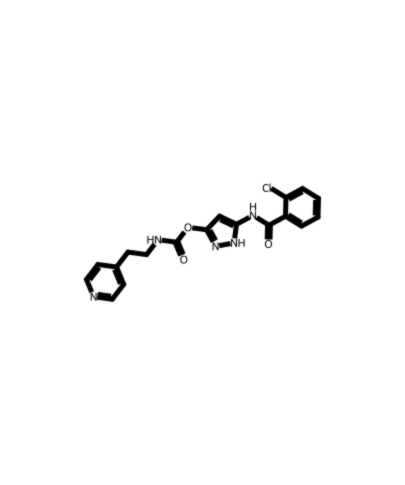 O=C(NCCc1ccncc1)Oc1cc(NC(=O)c2ccccc2Cl)[nH]n1